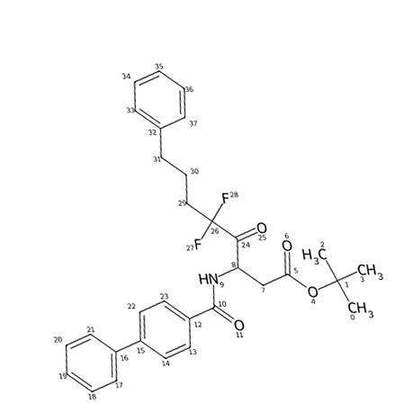 CC(C)(C)OC(=O)CC(NC(=O)c1ccc(-c2ccccc2)cc1)C(=O)C(F)(F)CCCc1ccccc1